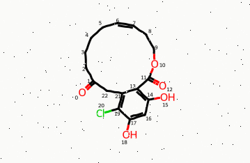 O=C1CCCC/C=C\CCOC(=O)c2c(O)cc(O)c(Cl)c2C1